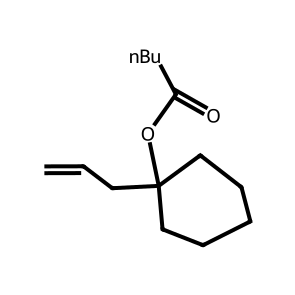 C=CCC1(OC(=O)CCCC)CCCCC1